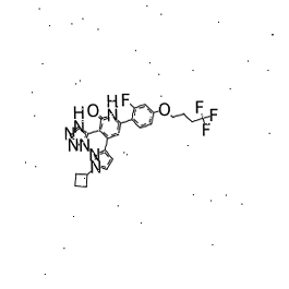 O=c1[nH]c(-c2ccc(OCCCC(F)(F)F)cc2F)cc(-c2ccn(C3CCC3)n2)c1-c1nnn[nH]1